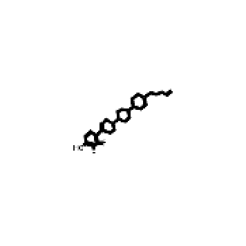 C=CCCCC1CCC(C2CCC(C3CC=C(c4ccc(O)c(F)c4F)CC3)CC2)CC1